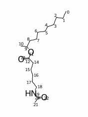 CCCCCCCCCC(C)OC(=O)CCCCCNC(C)=O